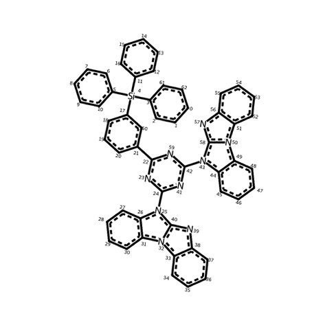 c1ccc([Si](c2ccccc2)(c2ccccc2)c2cccc(-c3nc(-n4c5ccccc5n5c6ccccc6nc45)nc(-n4c5ccccc5n5c6ccccc6nc45)n3)c2)cc1